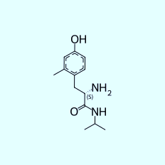 Cc1cc(O)ccc1C[C@H](N)C(=O)NC(C)C